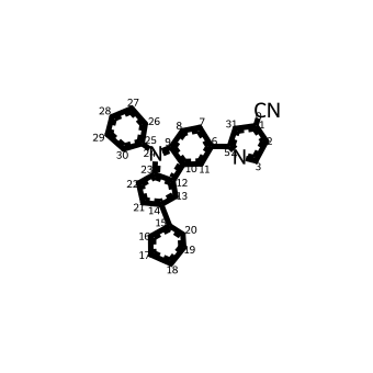 N#Cc1ccnc(-c2ccc3c(c2)c2cc(-c4ccccc4)ccc2n3-c2ccccc2)c1